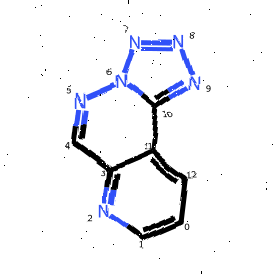 c1cnc2cnn3nnnc3c2c1